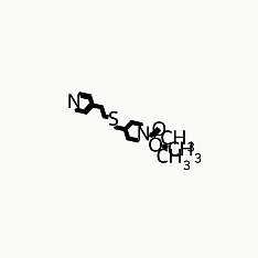 CC(C)(C)OC(=O)N1CCC(CSCCc2ccncc2)CC1